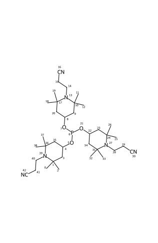 CC1(C)CC(OP(OC2CC(C)(C)N(CCC#N)C(C)(C)C2)OC2CC(C)(C)N(CCC#N)C(C)(C)C2)CC(C)(C)N1CCC#N